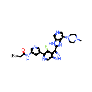 CN1CCN(c2cncc3[nH]c(-c4n[nH]c5cnc(-c6cncc(NC(=O)CC(C)(C)C)c6)c(F)c45)nc23)CC1